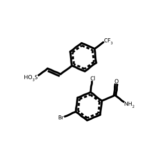 NC(=O)c1ccc(Br)cc1Cl.O=S(=O)(O)/C=C/c1ccc(C(F)(F)F)cc1